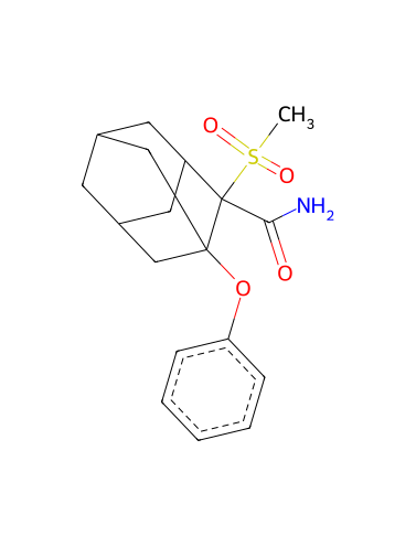 CS(=O)(=O)C1(C(N)=O)C2CC3CC(C2)CC1(Oc1ccccc1)C3